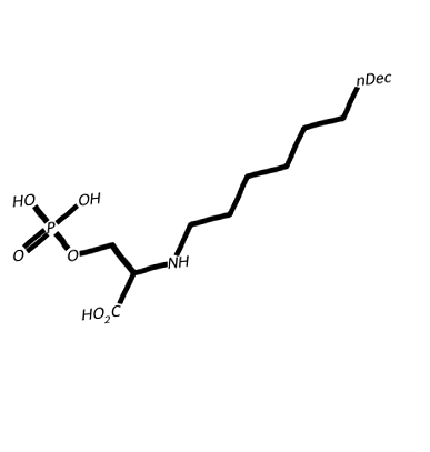 CCCCCCCCCCCCCCCCNC(COP(=O)(O)O)C(=O)O